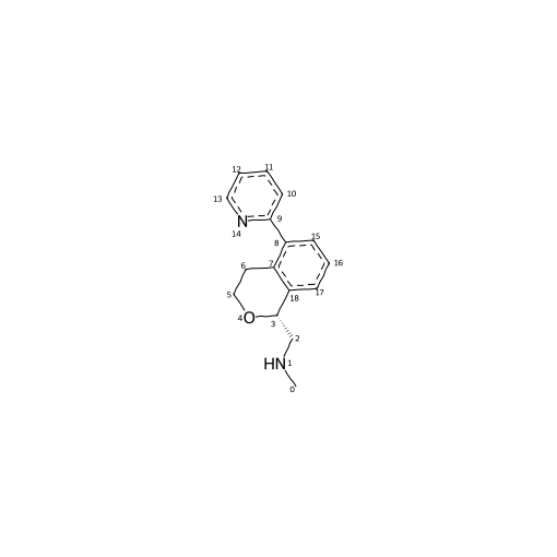 CNC[C@@H]1OCCc2c(-c3ccccn3)cccc21